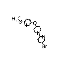 COc1ccc(OC2CCN(c3ccc(Br)cn3)CC2)cn1